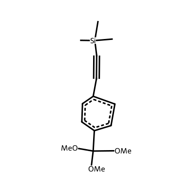 COC(OC)(OC)c1ccc(C#C[Si](C)(C)C)cc1